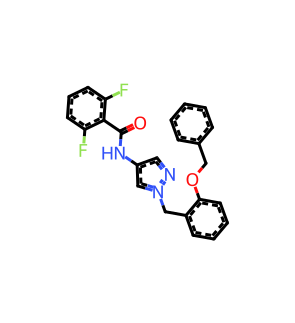 O=C(Nc1cnn(Cc2ccccc2OCc2ccccc2)c1)c1c(F)cccc1F